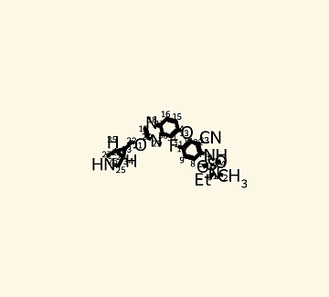 CCN(C)S(=O)(=O)Nc1ccc(F)c(Oc2ccc3ncc(OCC4[C@H]5CNC[C@@H]45)nc3c2)c1C#N